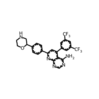 Nc1ncnc2nc(-c3ccc(C4CNCCO4)cc3)cc(-c3cc(C(F)(F)F)cc(C(F)(F)F)c3)c12